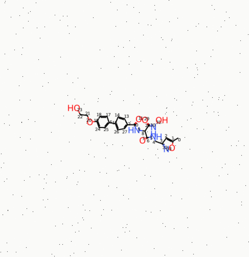 Cc1cc(CNC(=O)C(NC(=O)c2ccc(-c3ccc(OCCO)cc3)cc2)C(=O)NO)no1